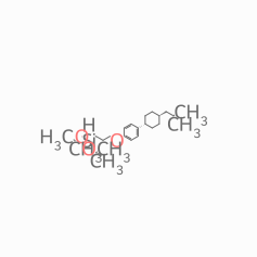 CC(C)C[C@H]1CC[C@H](c2ccc(OCCC[SiH](OC(C)C)OC(C)C)cc2)CC1